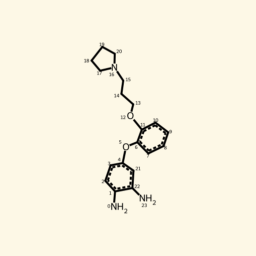 Nc1ccc(Oc2ccccc2OCCCN2CCCC2)cc1N